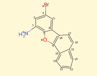 Nc1cc(Br)cc2c1oc1c3ccccc3ccc21